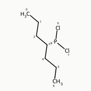 CCCCCCC.Cl[P]Cl